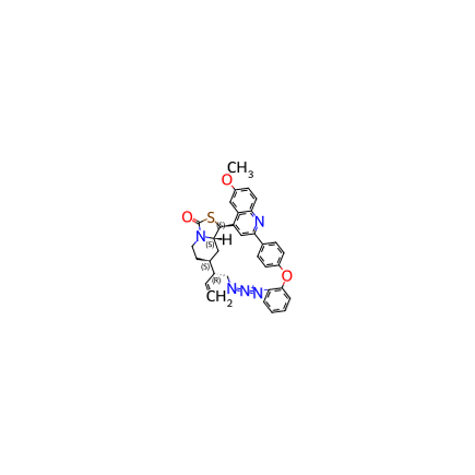 C=C[C@@H](CN=[N+]=[N-])[C@H]1CCN2C(=O)S[C@@H](c3cc(-c4ccc(Oc5ccccc5)cc4)nc4ccc(OC)cc34)[C@@H]2C1